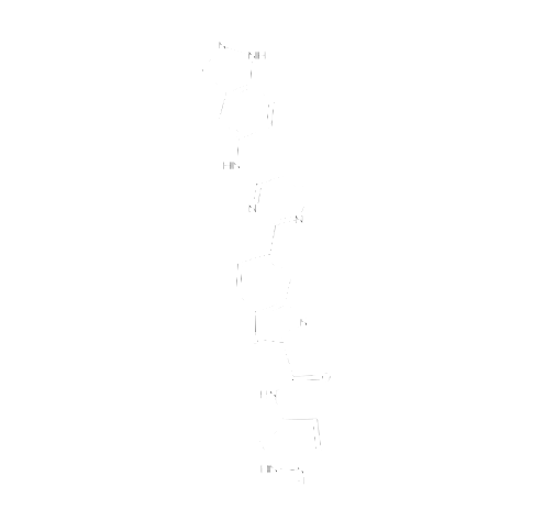 O=C(NC1=CNNC=C1)c1nc2cc(-c3nccc(Nc4ccc5[nH]ncc5c4)n3)ccc2s1